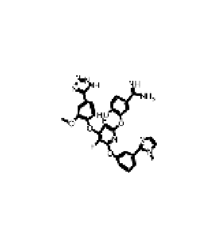 COc1cc(-c2nnn[nH]2)ccc1Oc1c(F)c(Oc2cccc(-c3nccn3C)c2)nc(Oc2cc(C(=N)N)ccc2O)c1F